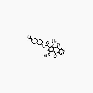 CCSc1cc(C(=O)OC2CCC3CC(Cl)CCC3C2)c(N)c2c1C(=O)c1ccccc1C2=O